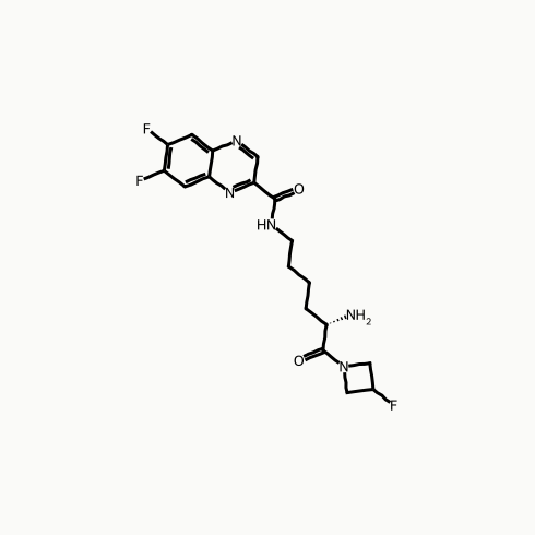 N[C@@H](CCCCNC(=O)c1cnc2cc(F)c(F)cc2n1)C(=O)N1CC(F)C1